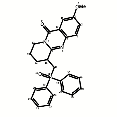 COc1ccc2nc3n(c(=O)c2c1)CCCC3CP(=O)(c1ccccc1)c1ccccc1